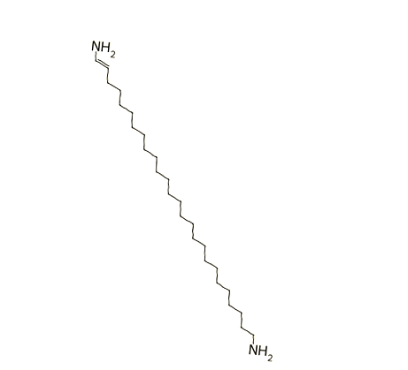 NC=CCCCCCCCCCCCCCCCCCCCCCCCCN